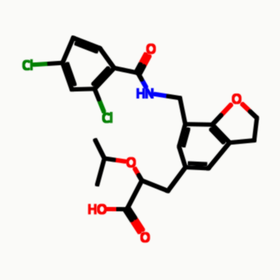 CC(C)OC(Cc1cc2c(c(CNC(=O)c3ccc(Cl)cc3Cl)c1)OCC2)C(=O)O